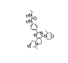 CCNC(=O)Nc1ccc(-c2nc3c(c(N4CCOCC4C)n2)CCN(C(C)C)C3CC#N)cc1